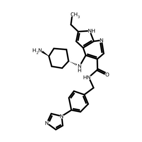 CCc1cc2c(N[C@H]3CC[C@H](N)CC3)c(C(=O)NCc3ccc(-n4ccnc4)cc3)cnc2[nH]1